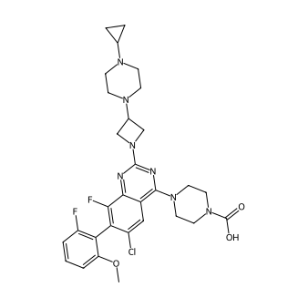 COc1cccc(F)c1-c1c(Cl)cc2c(N3CCN(C(=O)O)CC3)nc(N3CC(N4CCN(C5CC5)CC4)C3)nc2c1F